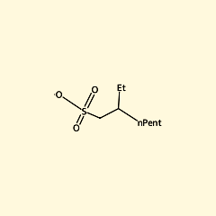 CCCCCC(CC)CS([O])(=O)=O